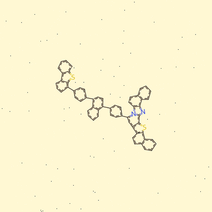 c1ccc2c(c1)ccc1c2nc2c3sc4c5ccccc5ccc4c3cc(-c3ccc(-c4ccc(-c5ccc(-c6cccc7c6sc6ccccc67)cc5)c5ccccc45)cc3)n12